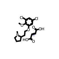 COc1c(Cl)cc(Cl)cc1OCCC1CCCN1C.O=C(O)/C=C/C(=O)O